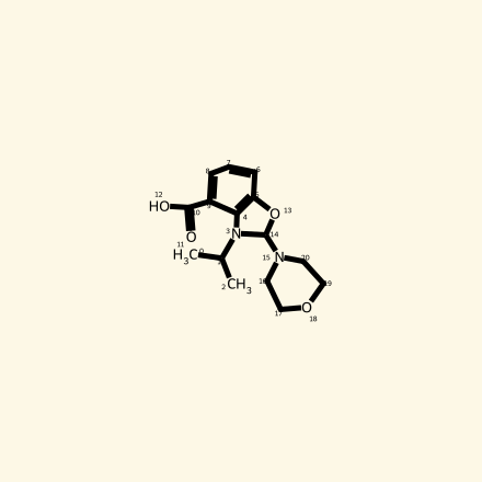 CC(C)N1c2c(cccc2C(=O)O)OC1N1CCOCC1